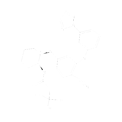 CC(C)(C)OC(=O)N[C@H]1CCCC[C@H]1Nc1ccc(C#N)c(Nc2cccc(-n3nccn3)c2)c1